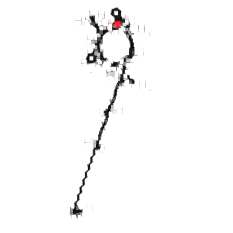 CCCC[C@H](NC(=O)COCCOCCNC(=O)COCCOCCNC(=O)CCCCCCCCCCCCCCCc1nnn[nH]1)C(=O)N[C@H]1CCC(=O)NCCCC[C@@H](C(C)=O)NC(=O)[C@H](Cc2c[nH]c3ccccc23)NC(=O)[C@H](CCCNC(=N)N)NC(=O)[C@@H](Cc2ccccc2)NC(=O)[C@H](CN)NC1=O